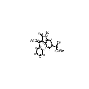 COC(=O)c1ccc2c(c1)N(C(C)=O)C(=O)C2=C(OC(C)=O)c1ccccc1